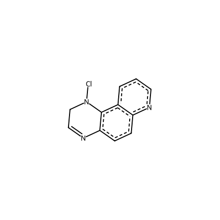 ClN1CC=Nc2ccc3ncccc3c21